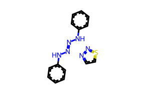 c1ccc(NN=NNc2ccccc2)cc1.c1csnn1